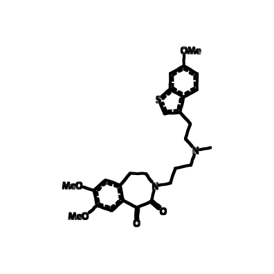 COc1ccc2c(CCN(C)CCCN3CCc4cc(OC)c(OC)cc4C(=O)C3=O)csc2c1